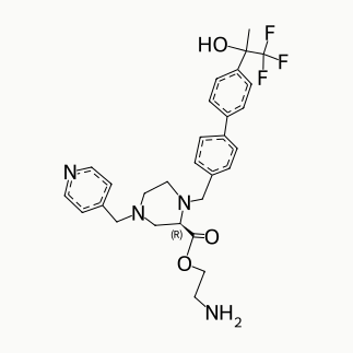 CC(O)(c1ccc(-c2ccc(CN3CCN(Cc4ccncc4)C[C@@H]3C(=O)OCCN)cc2)cc1)C(F)(F)F